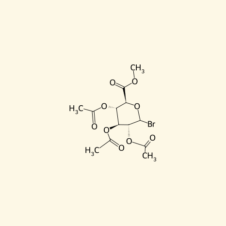 COC(=O)[C@H]1OC(Br)[C@H](OC(C)=O)[C@@H](OC(C)=O)[C@@H]1OC(C)=O